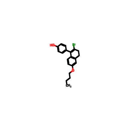 CCCCOc1ccc2c(c1)CCC(Br)=C2c1ccc(O)cc1